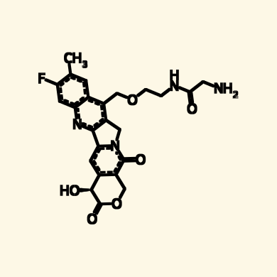 Cc1cc2c(COCCNC(=O)CN)c3c(nc2cc1F)-c1cc2c(c(=O)n1C3)COC(=O)[C@H]2O